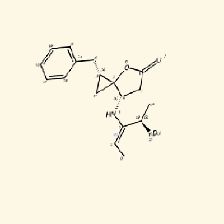 C/C=C(/N[C@H]1CC(=O)OC12C[C@@H]2Cc1ccccc1)[C@@H](C)CCCC